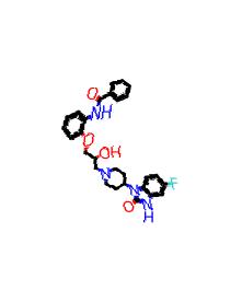 O=C(Nc1ccccc1OCC(O)CN1CCC(n2c(=O)[nH]c3cc(F)ccc32)CC1)c1ccccc1